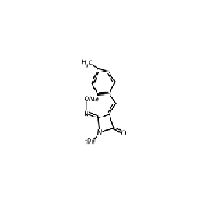 CO/N=C1\C(=C/c2ccc(C)cc2)C(=O)N1C(C)(C)C